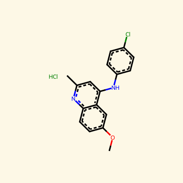 COc1ccc2nc(C)cc(Nc3ccc(Cl)cc3)c2c1.Cl